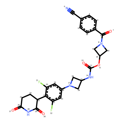 N#Cc1ccc(C(=O)N2CC(OC(=O)NC3CN(c4cc(F)c(C5CCC(=O)NC5=O)c(F)c4)C3)C2)cc1